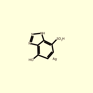 O=S(=O)(O)c1ccc(O)c2nn[nH]c12.[Ag]